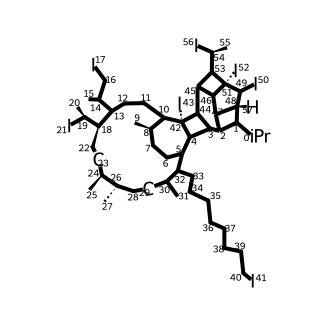 CC(C)C1C2C3C4C5CC[C@@H](C)C(CCC(C(C)CI)[C@H]([C@H](C)I)CC[C@H](C)[C@@H](C)CCC(C)C5CCCCCCCCI)[C@@]4(I)C3C3C4C2[C@@H]1C(I)[C@]4(I)C3[C@H](C)I